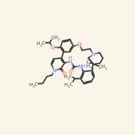 CCCCn1ccc(-c2cc(OCCN3CCCCC3)ccc2OC(C)C)c(NC(=O)Nc2c(C(C)C)cccc2C(C)C)c1=O